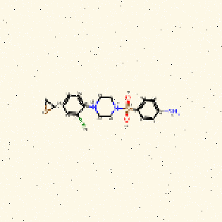 C1CS1.Nc1ccc(S(=O)(=O)N2CCN(c3ccccc3Br)CC2)cc1